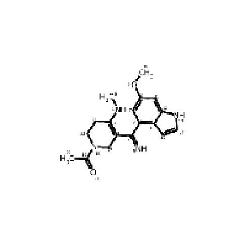 CNC1=C(C(=N)c2cc(OC)cc3[nH]ccc23)CN(C(C)=O)CC1